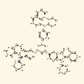 c1ccc(N(c2ccc(-c3cc(-c4ccc5c(c4)c4ccc6ccccc6c4n5-c4ccccc4)cc(-c4ccc5c(c4)c4ccc6ccccc6c4n5-c4ccccc4)c3)cc2)c2cccc3ccccc23)cc1